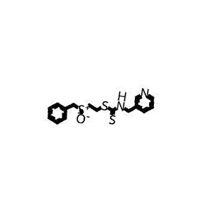 [O-][S+](CCSC(=S)NCc1cccnc1)Cc1ccccc1